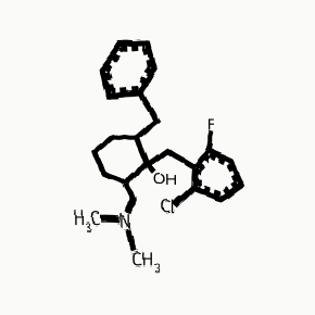 CN(C)CC1CCCC(Cc2ccccc2)C1(O)Cc1c(F)cccc1Cl